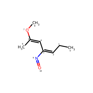 CC/C=C(\C=C(/C)OC)N=O